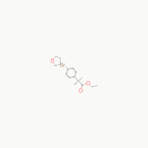 C1CCOC1.CCOC(=O)C(C)(C)c1ccc(Br)cc1